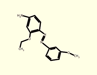 CCOc1cc(N)ccc1/N=N/c1cccc(OC)c1